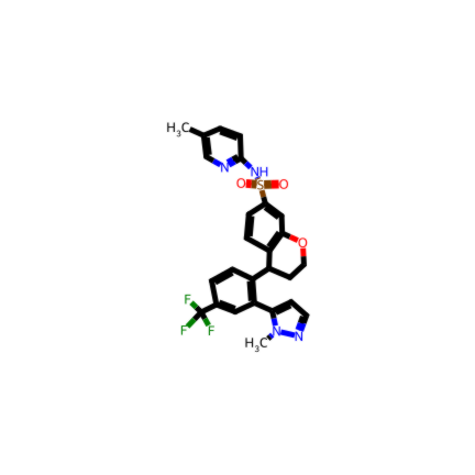 Cc1ccc(NS(=O)(=O)c2ccc3c(c2)OCCC3c2ccc(C(F)(F)F)cc2-c2ccnn2C)nc1